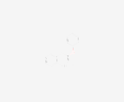 C=C(Oc1ccccc1)Sc1ccccc1C